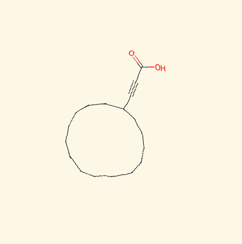 O=C(O)C#CC1CCCCCCCCCCCCCC1